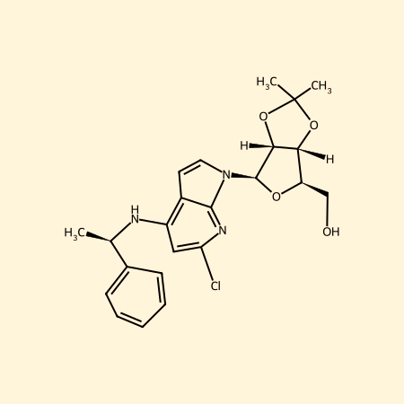 C[C@@H](Nc1cc(Cl)nc2c1ccn2[C@@H]1O[C@H](CO)[C@H]2OC(C)(C)O[C@H]21)c1ccccc1